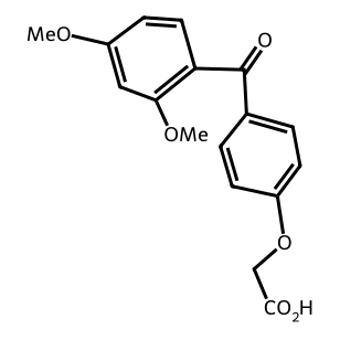 COc1ccc(C(=O)c2ccc(OCC(=O)O)cc2)c(OC)c1